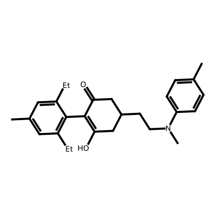 CCc1cc(C)cc(CC)c1C1=C(O)CC(CCN(C)c2ccc(C)cc2)CC1=O